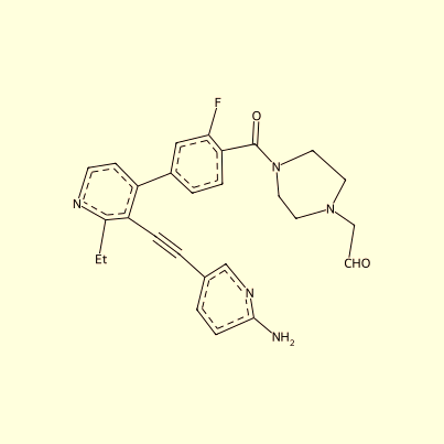 CCc1nccc(-c2ccc(C(=O)N3CCN(CC=O)CC3)c(F)c2)c1C#Cc1ccc(N)nc1